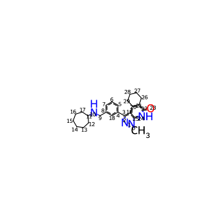 Cn1nc(-c2cccc(CNC3CCCCCC3)c2)c2c3c(c(=O)[nH]c21)CCCC3